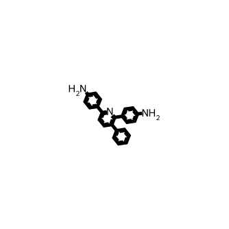 Nc1ccc(-c2ccc(-c3ccccc3)c(-c3ccc(N)cc3)n2)cc1